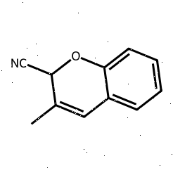 CC1=Cc2ccccc2OC1C#N